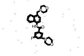 O=C(Nc1ccc(CN2CCOCC2)c2ccccc12)c1cc(F)cc(N2CCOCC2)c1